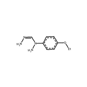 CCOc1ccc(N(N)/C=N\N)cc1